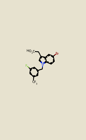 O=C(O)Cc1cn(Cc2cc(F)cc(C(F)(F)F)c2)c2ccc(Br)cc12